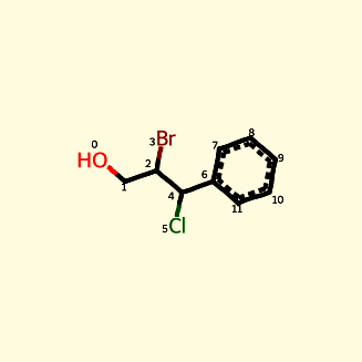 OCC(Br)C(Cl)c1ccccc1